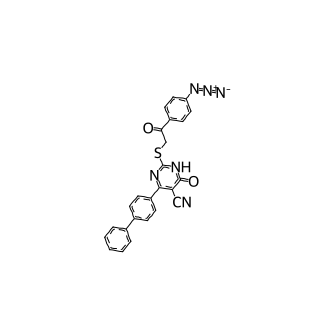 N#Cc1c(-c2ccc(-c3ccccc3)cc2)nc(SCC(=O)c2ccc(N=[N+]=[N-])cc2)[nH]c1=O